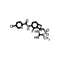 CN1C(=N)N[C@@]2(Cc3ccc(NC(=O)c4ccc(Cl)cn4)c(F)c32)CS1(=O)=O